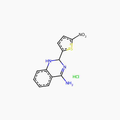 Cl.NC1=NC(c2ccc([N+](=O)[O-])s2)Nc2ccccc21